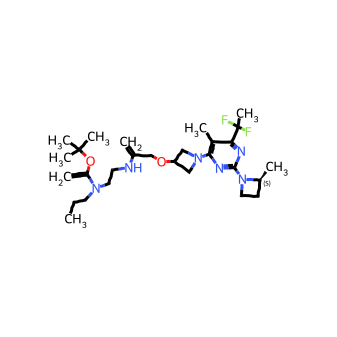 C=C(COC1CN(c2nc(N3CC[C@@H]3C)nc(C(C)(F)F)c2C)C1)NCCN(CCC)C(=C)OC(C)(C)C